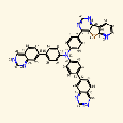 c1cnc2sc3c(-c4ccc(N(c5ccc(-c6ccc7cncnc7c6)cc5)c5ccc(-c6ccc7cncnc7c6)cc5)cc4)ncnc3c2c1